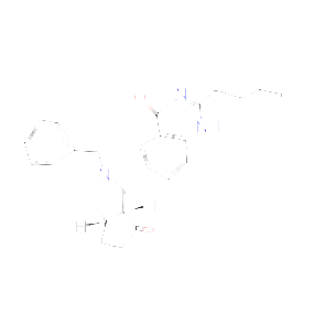 CCCCc1nc(=O)c2cc([C@@H]3[C@@H]4C(=O)CC[C@@H]4ON3Cc3ccccc3)ccc2[nH]1